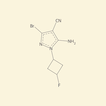 N#Cc1c(Br)nn(C2CC(F)C2)c1N